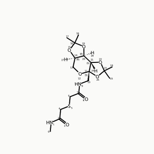 CNC(=O)CSCC(=O)NC[C@@]12OC[C@H]3OC(C)(C)O[C@H]3[C@@H]1OC(C)(C)O2